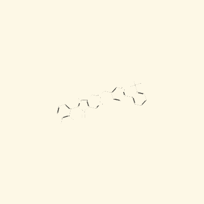 Fc1cccc(-c2nc3c([nH]2)C=NN(Cc2ccc(-c4ccccc4C(F)(F)F)nc2)C3)c1F